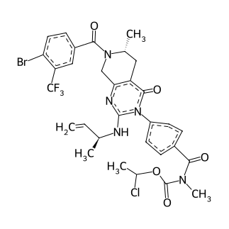 C=C[C@H](C)Nc1nc2c(c(=O)n1-c1ccc(C(=O)N(C)C(=O)OC(C)Cl)cc1)C[C@@H](C)N(C(=O)c1ccc(Br)c(C(F)(F)F)c1)C2